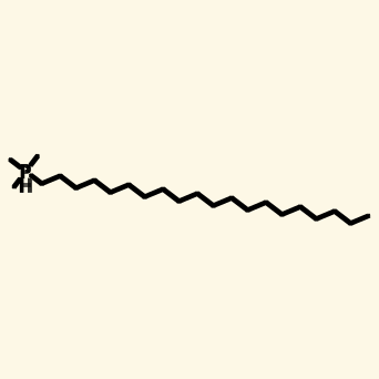 CCCCCCCCCCCCCCCCCCCC[PH](C)(C)C